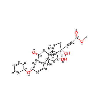 COC(=O)C#C[C@]1(O)CC[C@H]2[C@@H]3CC(=O)c4cc(Oc5ccccc5)ccc4[C@H]3C[C@@H](O)[C@@]21C